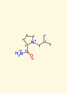 CC(C)CN1CCCC1C(N)=O